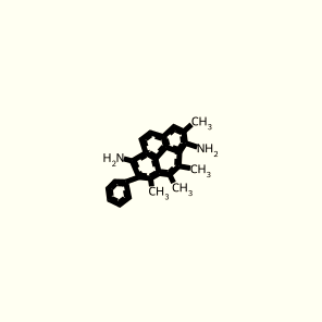 Cc1cc2ccc3c(N)c(-c4ccccc4)c(C)c4c(C)c(C)c(c1N)c2c34